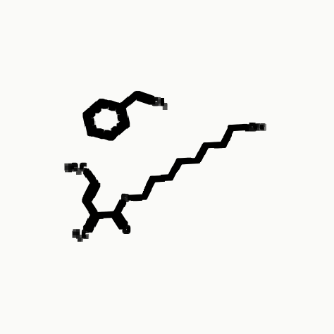 C=C(C=CC(=O)O)C(=O)OCCCCCCCCCCCCCCCCCC.C=Cc1ccccc1